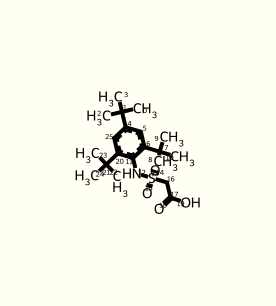 CC(C)(C)c1cc(C(C)(C)C)c(NS(=O)(=O)CC(=O)O)c(C(C)(C)C)c1